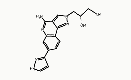 N#CC[C@H](O)Cn1cc2c(N)nc3cc(-c4cc[nH]n4)ccc3c2n1